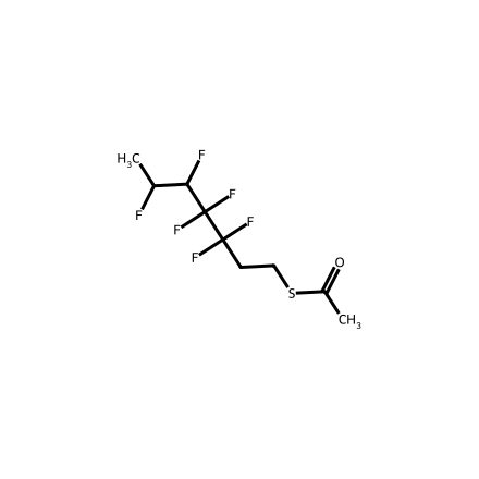 CC(=O)SCCC(F)(F)C(F)(F)C(F)C(C)F